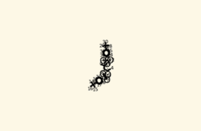 CC(CC(C)OS(=O)(=O)c1ccc(C(C)(C)C)cc1)OS(=O)(=O)c1ccc(C(C)(C)C)cc1